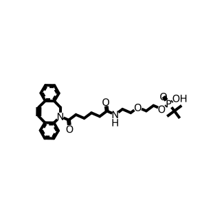 CC(C)(C)P(=O)(O)OCCOCCNC(=O)CCCCC(=O)N1Cc2ccccc2C#Cc2ccccc21